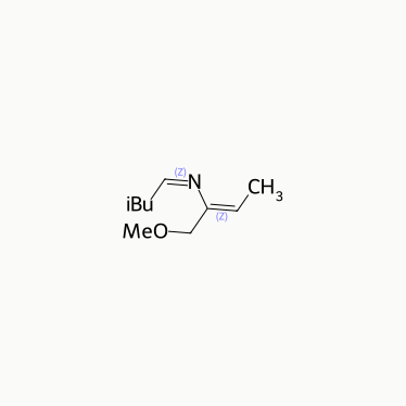 C/C=C(COC)\N=C/C(C)CC